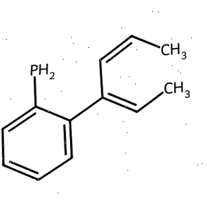 C/C=C\C(=C/C)c1ccccc1P